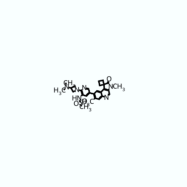 Cc1cc2ncc3c(c2cc1-c1cnc(N2CC(N(C)C)C2)c(NS(C)(=O)=O)c1)C1(CCC1)C(=O)N3C